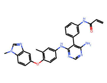 C=CC(=O)Nc1cccc(-c2c(N)ncnc2Nc2ccc(Oc3ccc4c(c3)ncn4C)c(C)c2)c1